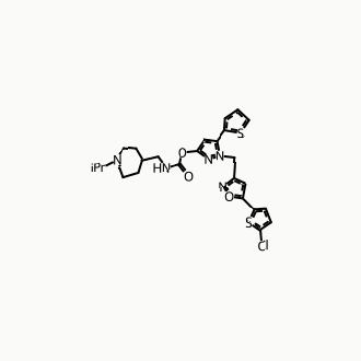 CC(C)N1CCC(CNC(=O)Oc2cc(-c3cccs3)n(Cc3cc(-c4ccc(Cl)s4)on3)n2)CC1